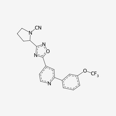 N#CN1CCCC1c1noc(-c2ccnc(-c3cccc(OC(F)(F)F)c3)c2)n1